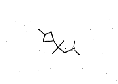 CC1CC(C(C)(C)CN(C)C)C1